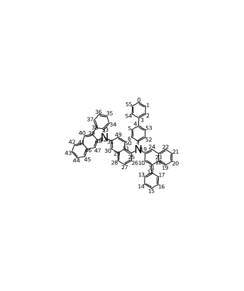 c1ccc(-c2ccc(N(c3cc(-c4ccccc4)c4ccccc4c3)c3cccc4cc(-n5c6ccccc6c6cc7ccccc7cc65)ccc34)cc2)cc1